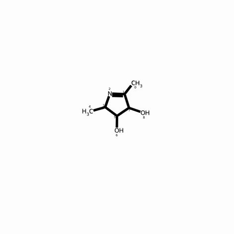 CC1=NC(C)C(O)C1O